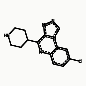 Clc1ccc2nc(C3CCNCC3)c3nncn3c2c1